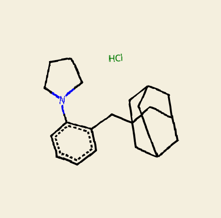 Cl.c1ccc(N2CCCC2)c(CC23CC4CC(CC(C4)C2)C3)c1